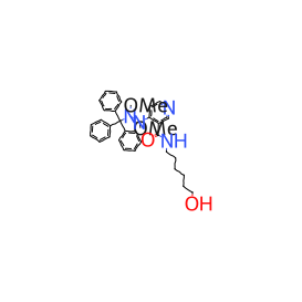 CON(c1ccncc1C(=O)NCCCCCCO)N(OC)C(c1ccccc1)(c1ccccc1)c1ccccc1